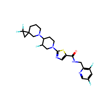 O=C(NCc1ncc(F)cc1F)c1cnc(N2CCC(N3CCCC4(C3)CC4(F)F)C(F)C2)s1